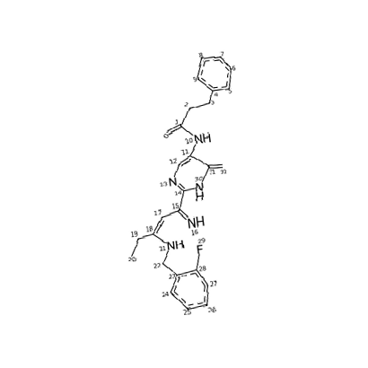 C=C(CCc1ccccc1)NC1=CN=C(C(=N)/C=C(/CC)NCc2ccccc2F)NC1=C